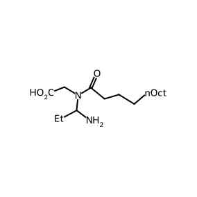 CCCCCCCCCCCC(=O)N(CC(=O)O)C(N)CC